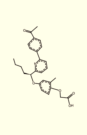 CCCC[C@H](Oc1ccc(OCC(=O)O)c(C)c1)c1cccc(-c2ccc(C(C)=O)cc2)n1